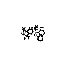 CCOP(=O)(O)C(Oc1ccccn1)(c1ccc([N+](=O)[O-])c(C(F)(F)F)c1)C1CCCCC1